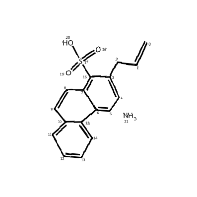 C=CCc1ccc2c(ccc3ccccc32)c1S(=O)(=O)O.N